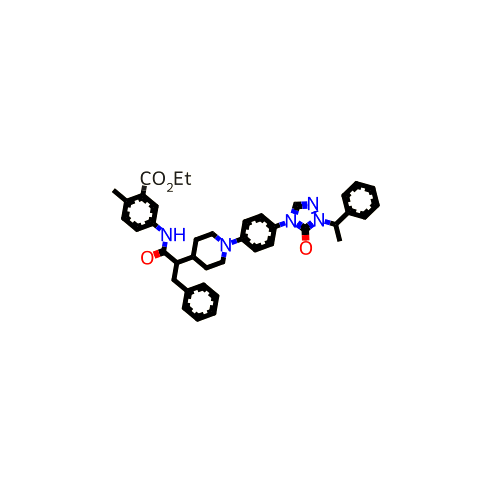 CCOC(=O)c1cc(NC(=O)C(Cc2ccccc2)C2CCN(c3ccc(-n4cnn(C(C)c5ccccc5)c4=O)cc3)CC2)ccc1C